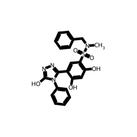 CN(Cc1ccccc1)S(=O)(=O)c1cc(-c2nnc(O)n2-c2ccccc2)c(O)cc1O